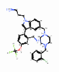 NCCCn1cc(-c2ccc(OC(F)(F)F)cc2CN)c2cc(CN3CCN(Cc4ccccc4Cl)CC3)ccc21